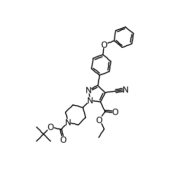 CCOC(=O)c1c(C#N)c(-c2ccc(Oc3ccccc3)cc2)nn1C1CCN(C(=O)OC(C)(C)C)CC1